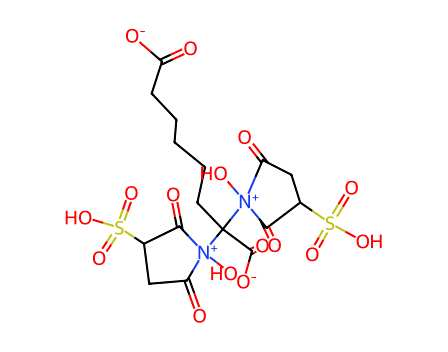 O=C([O-])CCCCCC(C(=O)[O-])([N+]1(O)C(=O)CC(S(=O)(=O)O)C1=O)[N+]1(O)C(=O)CC(S(=O)(=O)O)C1=O